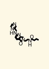 CCCC(=O)NCCN1Cc2nc(NCc3cnccn3)ccc2C1=O